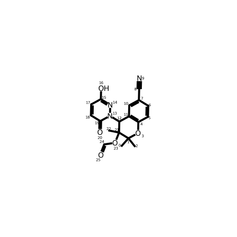 CC1(C)Oc2ccc(C#N)cc2C(n2nc(O)ccc2=O)C1(C)OC=O